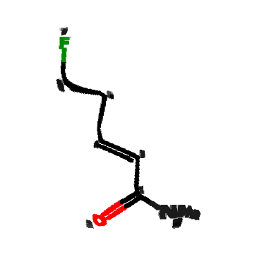 CNC(=O)C=CCCF